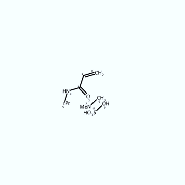 C=CC(=O)NCCC.CNC.O=S(=O)(O)O